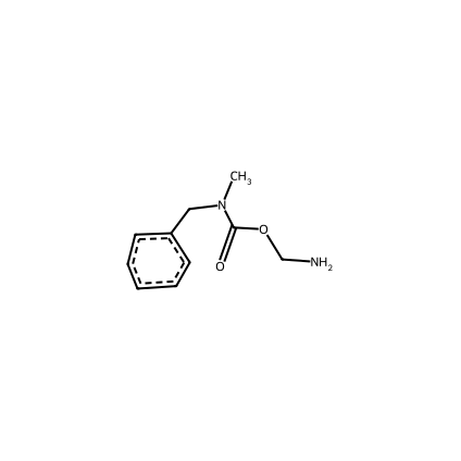 CN(Cc1ccccc1)C(=O)OCN